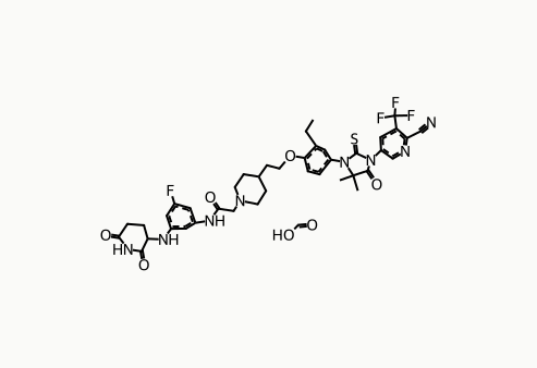 CCc1cc(N2C(=S)N(c3cnc(C#N)c(C(F)(F)F)c3)C(=O)C2(C)C)ccc1OCCC1CCN(CC(=O)Nc2cc(F)cc(NC3CCC(=O)NC3=O)c2)CC1.O=CO